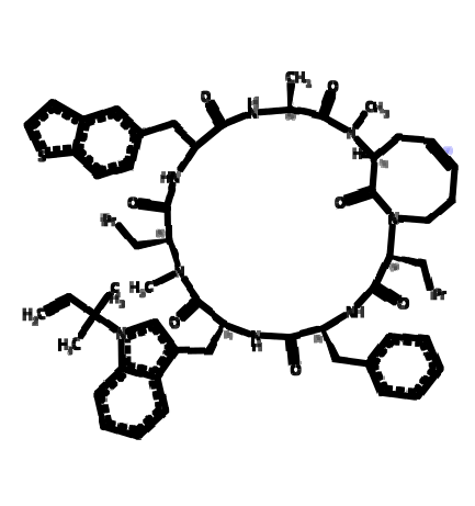 C=CC(C)(C)n1cc(C[C@@H]2NC(=O)[C@H](Cc3ccccc3)NC(=O)[C@H](CC(C)C)N3CC/C=C\C[C@@H](C3=O)N(C)C(=O)[C@H](C)NC(=O)C(Cc3ccc4sccc4c3)NC(=O)[C@H](CC(C)C)N(C)C2=O)c2ccccc21